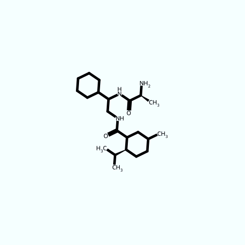 CC1CC[C@@H](C(C)C)C(C(=O)NCC(NC(=O)[C@H](C)N)C2CCCCC2)C1